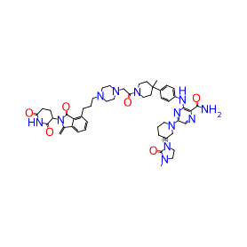 C=C1c2cccc(CCCN3CCN(CC(=O)N4CCC(C)(c5ccc(Nc6nc(N7CCC[C@@H](N8CCN(C)C8=O)C7)cnc6C(N)=O)cc5)CC4)CC3)c2C(=O)N1C1CCC(=O)NC1=O